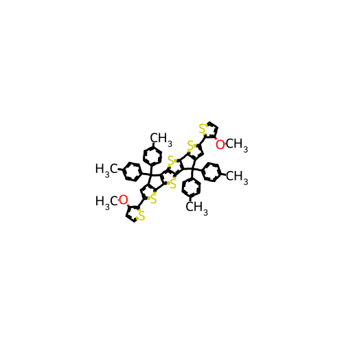 COc1ccsc1-c1cc2c(s1)-c1sc3c4c(sc3c1C2(c1ccc(C)cc1)c1ccc(C)cc1)-c1sc(-c2sccc2OC)cc1C4(c1ccc(C)cc1)c1ccc(C)cc1